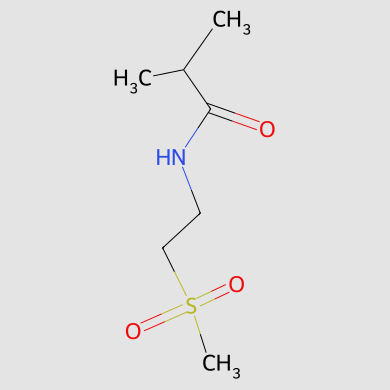 CC(C)C(=O)NCCS(C)(=O)=O